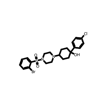 O=S(=O)(c1ccccc1Br)N1CCN(C2CCC(O)(c3ccc(Cl)cc3)CC2)CC1